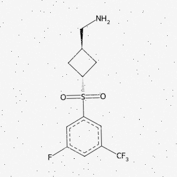 NC[C@H]1C[C@H](S(=O)(=O)c2cc(F)cc(C(F)(F)F)c2)C1